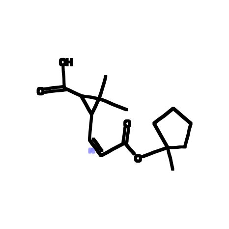 CC1(OC(=O)/C=C\C2C(C(=O)O)C2(C)C)CCCC1